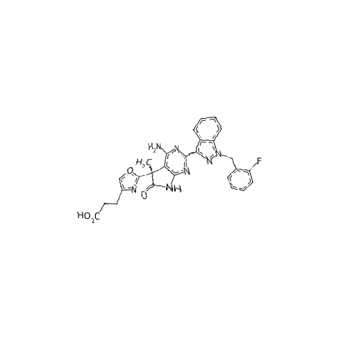 C[C@]1(c2nc(CCC(=O)O)co2)C(=O)Nc2nc(-c3nn(Cc4ccccc4F)c4ccccc34)nc(N)c21